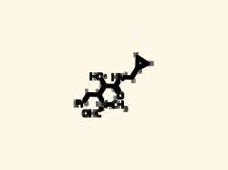 CC(C)CC(C(O)C(=O)NCC1CC1)N(C)C=O